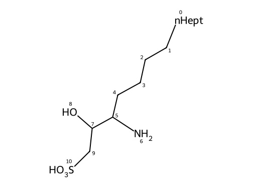 CCCCCCCCCCCC(N)C(O)CS(=O)(=O)O